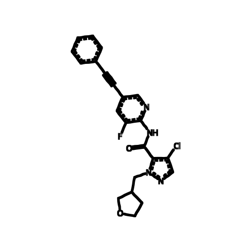 O=C(Nc1ncc(C#Cc2ccccc2)cc1F)c1c(Cl)cnn1CC1CCOC1